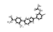 Cc1ccc(-c2cn3nc(-c4ccc(C(=N)N)cc4C(F)(F)F)ccc3n2)cc1NC(=O)C(C)(C)C